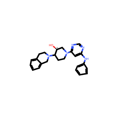 O[C@H]1CN(c2cc(Nc3ccccc3)ncn2)CCC1N1CCc2ccccc2C1